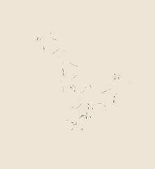 NCc1cccc(-n2nc(C(F)(F)F)cc2C(=O)Nc2cccc(Cc3cccc(O)c3)c2)c1